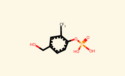 O=P(O)(O)Oc1ccc(CO)cc1C(F)(F)F